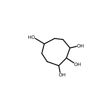 OC1CCC(O)C(O)C(O)CC1